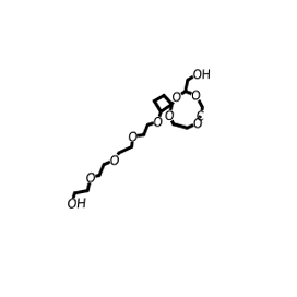 OCCOCCOCCOCCOC1CCC12OCCOCCOC(CO)O2